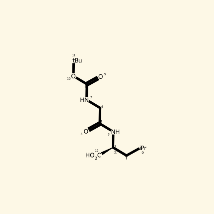 CC(C)C[C@H](NC(=O)CNC(=O)OC(C)(C)C)C(=O)O